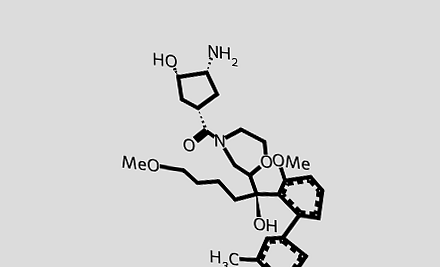 COCCCC[C@@](O)(c1c(OC)cccc1-c1cccc(C)c1)C1CN(C(=O)[C@H]2C[C@@H](N)[C@@H](O)C2)CCO1